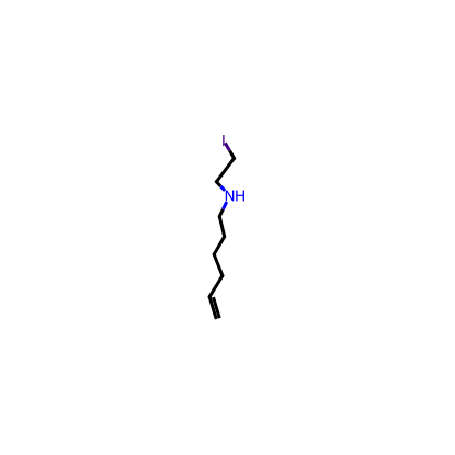 C=CCCCCNCCI